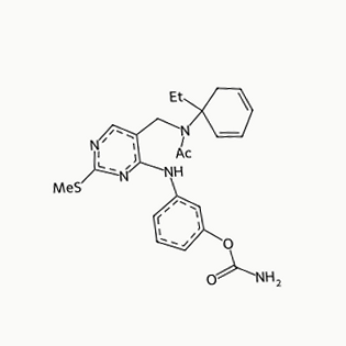 CCC1(N(Cc2cnc(SC)nc2Nc2cccc(OC(N)=O)c2)C(C)=O)C=CC=CC1